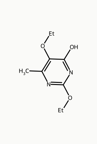 CCOc1nc(C)c(OCC)c(O)n1